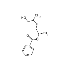 CC(CO)OCC(C)OC(=O)c1ccccc1